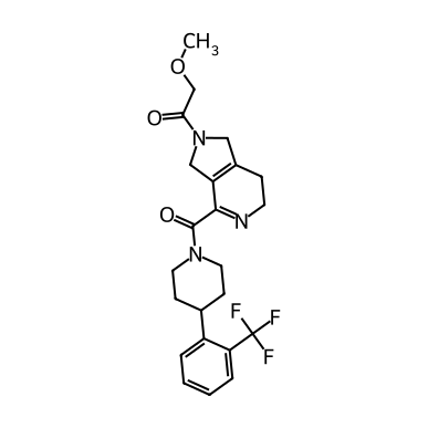 COCC(=O)N1CC2=C(C1)C(C(=O)N1CCC(c3ccccc3C(F)(F)F)CC1)=NCC2